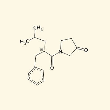 C[C](C)C[C@@H](Cc1ccccc1)C(=O)N1CCC(=O)C1